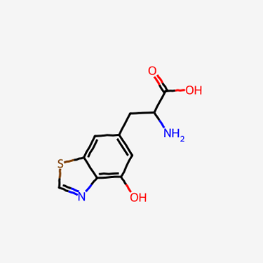 NC(Cc1cc(O)c2ncsc2c1)C(=O)O